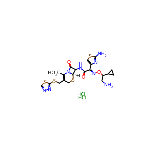 Cl.Cl.NCC(O/N=C(/C(=O)NC1C(=O)N2C(C(=O)O)=C(CSc3nncs3)CS[C@H]12)c1csc(N)n1)C1CC1